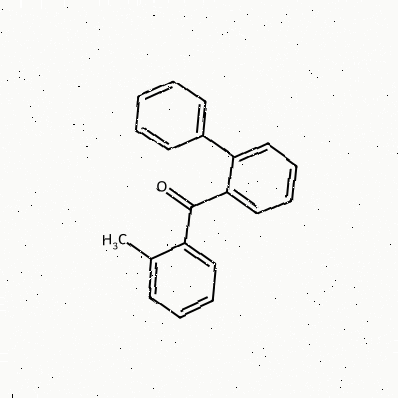 Cc1ccccc1C(=O)c1ccccc1-c1ccccc1